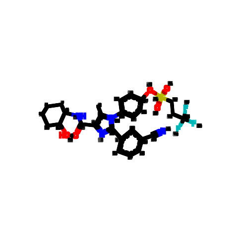 Cc1c(C(=O)NC2CCCCC2O)nc(-c2cccc(C#N)c2)n1-c1ccc(OS(=O)(=O)CCC(F)(F)F)cc1